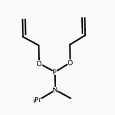 C=CCOP(OCC=C)N(C)C(C)C